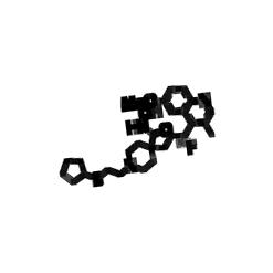 COc1ccc2ncc(C)c([C@H](F)CCC3(C(=O)NO)CCN(CCSC4CCCC4)CC3)c2c1